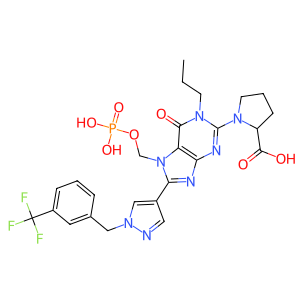 CCCn1c(N2CCCC2C(=O)O)nc2nc(-c3cnn(Cc4cccc(C(F)(F)F)c4)c3)n(COP(=O)(O)O)c2c1=O